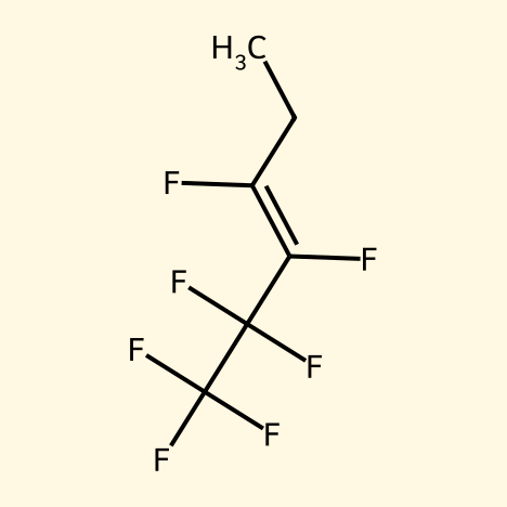 CC/C(F)=C(\F)C(F)(F)C(F)(F)F